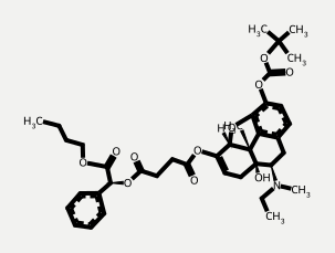 CCCCOC(=O)[C@@H](OC(=O)CCC(=O)OC1=CC[C@@]2(O)[C@H](N(C)CC)Cc3ccc(OC(=O)OC(C)(C)C)c4c3[C@@]2(C)[C@H]1O4)c1ccccc1